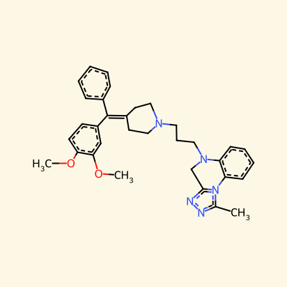 COc1ccc(C(=C2CCN(CCCN3Cc4nnc(C)n4-c4ccccc43)CC2)c2ccccc2)cc1OC